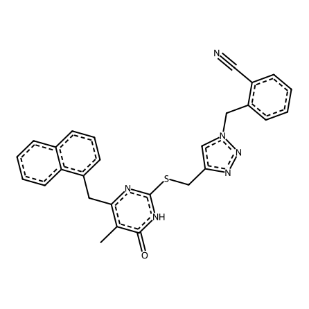 Cc1c(Cc2cccc3ccccc23)nc(SCc2cn(Cc3ccccc3C#N)nn2)[nH]c1=O